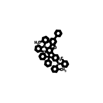 Cc1ccccc1N(c1ccc2c(c1)C(c1ccccc1)(c1ccccc1)c1cc(N(c3ccccc3C)c3ccccc3C)c3c(oc4cc(-c5ccccc5)ccc43)c1-2)c1ccccc1C